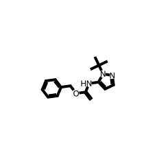 C=C(Nc1ccnn1C(C)(C)C)OCc1ccccc1